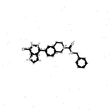 O=C(OCc1ccccc1)N1CCc2cc(-c3nnc(Cl)c4sccc34)ccc2C1